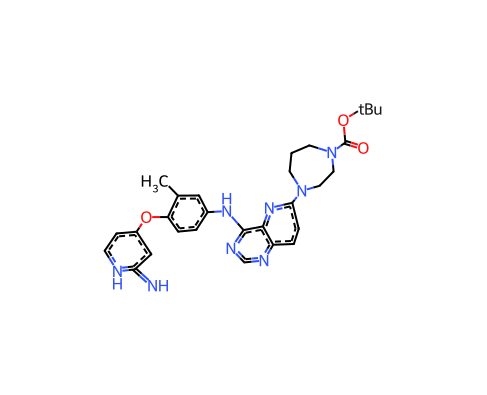 Cc1cc(Nc2ncnc3ccc(N4CCCN(C(=O)OC(C)(C)C)CC4)nc23)ccc1Oc1cc[nH]c(=N)c1